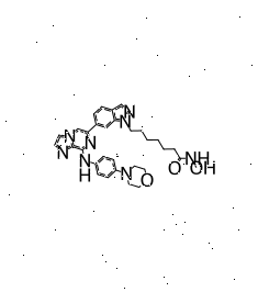 O=C(CCCCCCn1ncc2ccc(-c3cn4ccnc4c(Nc4ccc(N5CCOCC5)cc4)n3)cc21)NO